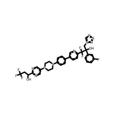 OC(CC(F)(F)F)c1ncc(N2CCN(c3ccc(-c4ccc(C(F)(F)C(O)(Cn5cnnn5)c5cccc(F)c5)nc4)cc3)CC2)cn1